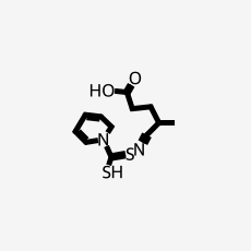 CC(C#N)CCC(=O)O.S=C(S)N1C=CC=CC1